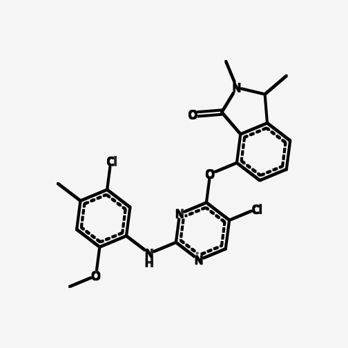 COc1cc(C)c(Cl)cc1Nc1ncc(Cl)c(Oc2cccc3c2C(=O)N(C)C3C)n1